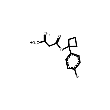 C=C(CC(=O)OC1(c2ccc(Br)cc2)CCC1)C(=O)O